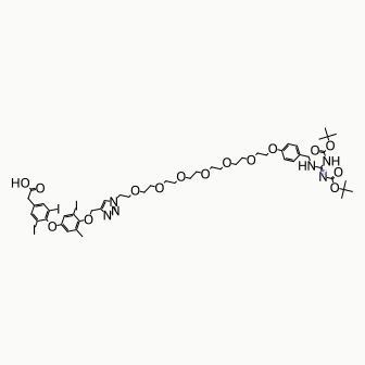 Cc1cc(Oc2c(I)cc(CC(=O)O)cc2I)cc(I)c1OCc1cn(CCOCCOCCOCCOCCOCCOCCOc2ccc(CN/C(=N/C(=O)OC(C)(C)C)NC(=O)OC(C)(C)C)cc2)nn1